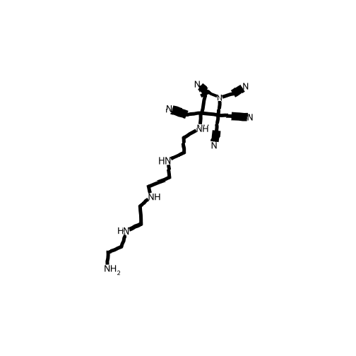 N#CN(C#N)C(C#N)(C#N)C(C#N)(C#N)NCCNCCNCCNCCN